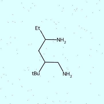 CCC(N)CC(CN)C(C)(C)C